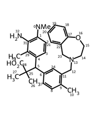 CNc1ccc(C(c2ccc(C)c(CN3CCOc4ccccc4C3)c2)C(C)(C)C(=O)O)c(C)c1N